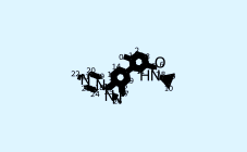 Cc1ccc(C(=O)NC2CC2)cc1-c1ccc2c(N3CCN(C)CC3)nncc2c1